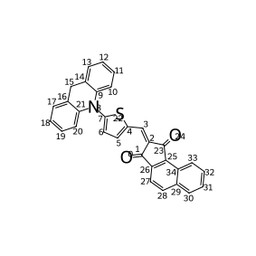 O=C1/C(=C\c2ccc(N3c4ccccc4Cc4ccccc43)s2)C(=O)c2c1ccc1ccccc21